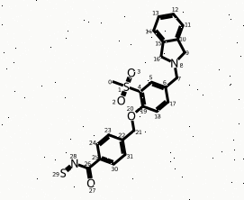 CS(=O)(=O)c1cc(CN2Cc3ccccc3C2)ccc1OCc1ccc(C(=O)N=S)cc1